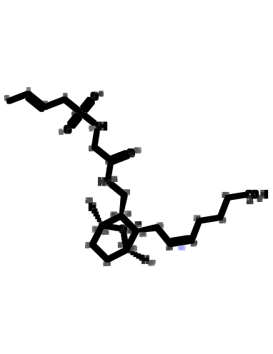 CC=CCS(=O)(=O)NCC(=O)NC[C@H]1[C@@H](C/C=C\CCCC(=O)O)[C@H]2CC[C@@H]1O2